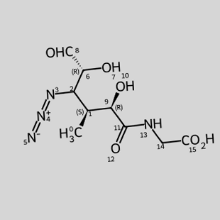 C[C@@H](C(N=[N+]=[N-])[C@@H](O)C=O)[C@@H](O)C(=O)NCC(=O)O